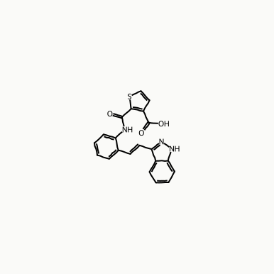 O=C(O)c1ccsc1C(=O)Nc1ccccc1C=Cc1n[nH]c2ccccc12